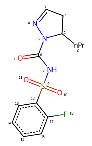 CCCC1CC=NN1C(=O)NS(=O)(=O)c1ccccc1F